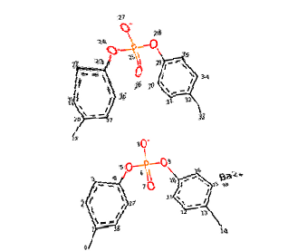 Cc1ccc(OP(=O)([O-])Oc2ccc(C)cc2)cc1.Cc1ccc(OP(=O)([O-])Oc2ccc(C)cc2)cc1.[Ba+2]